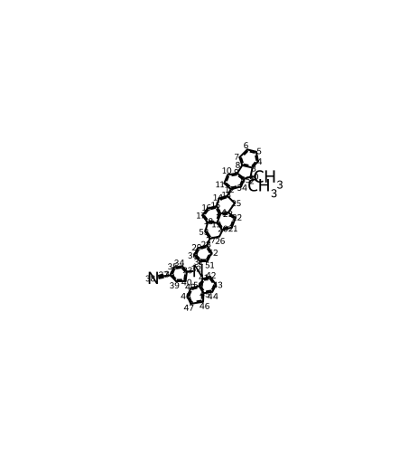 CC1(C)c2ccccc2-c2ccc(C3=Cc4ccc5c6c(ccc(c46)C3)CC(c3ccc(N(c4ccc(C#N)cc4)c4cccc6ccccc46)cc3)=C5)cc21